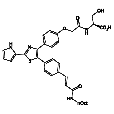 CCCCCCCCNC(=O)C=Cc1ccc(-c2sc(-c3ccc[nH]3)nc2-c2ccc(OCC(=O)N[C@@H](CO)C(=O)O)cc2)cc1